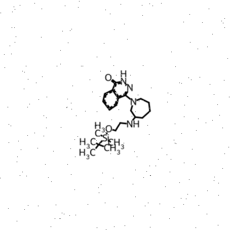 CC(C)(C)[Si](C)(C)OCCNC1CCCCN(c2n[nH]c(=O)c3ccccc23)C1